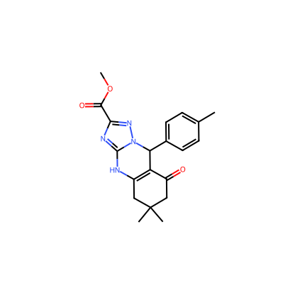 COC(=O)c1nc2n(n1)C(c1ccc(C)cc1)C1=C(CC(C)(C)CC1=O)N2